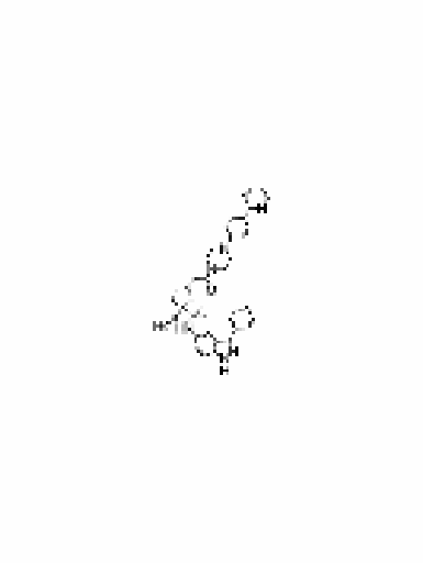 C#CC1(C(=O)Nc2ccc3[nH]nc(-c4ccncc4)c3c2)CCN(CC(=O)N2CCN(c3ccc(-c4ncccn4)cc3)CC2)C1